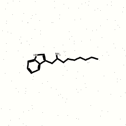 CCCCCCCC(N)Cc1c[nH]c2ccccc12